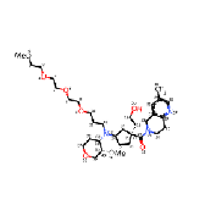 COCCOCCOCCOCCCN(C1CC[C@](CCO)(C(=O)N2CCc3ncc(C(F)(F)F)cc3C2)C1)[C@H]1CCOC[C@H]1OC